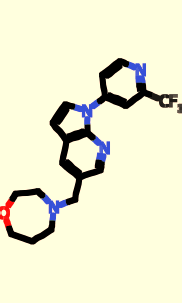 FC(F)(F)c1cc(-n2ccc3cc(CN4CCCOCC4)cnc32)ccn1